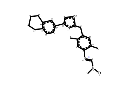 CCN(C)/C=N/c1cc(C)c(Cc2nc(-c3ccc4c(c3)CCCC4)cs2)cc1C